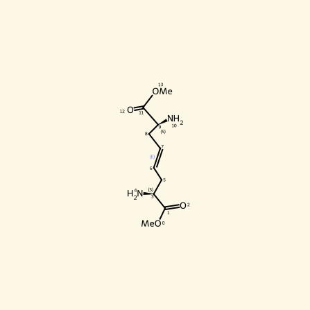 COC(=O)[C@@H](N)C/C=C/C[C@H](N)C(=O)OC